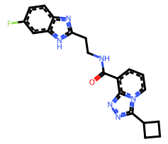 O=C(NCCc1nc2ccc(F)cc2[nH]1)c1cccn2c(C3CCC3)nnc12